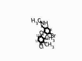 CNCc1ccc(Br)cc1Oc1ccc(Cl)c(C)c1C